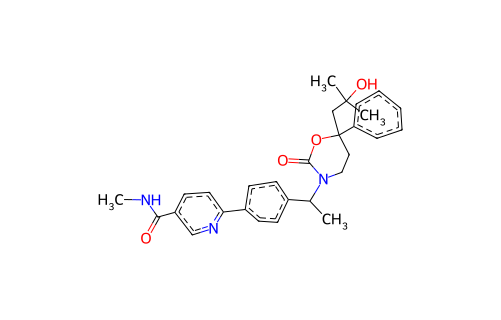 CNC(=O)c1ccc(-c2ccc(C(C)N3CCC(CC(C)(C)O)(c4ccccc4)OC3=O)cc2)nc1